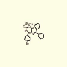 CC(C)(C)OC(=O)N[C@H](c1ccc(Br)cc1)[C@H](N=C(c1ccccc1)c1ccccc1)C(=O)OC(C)(C)C